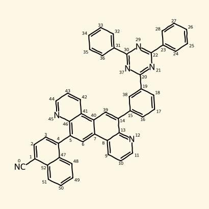 N#Cc1ccc(-c2cc3c4cccnc4c(-c4cccc(-c5nc(-c6ccccc6)nc(-c6ccccc6)n5)c4)cc3c3cccnc23)c2ccccc12